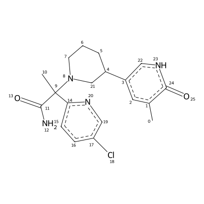 Cc1cc(C2CCCN(C(C)(C(N)=O)c3ccc(Cl)cn3)C2)c[nH]c1=O